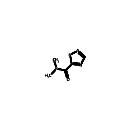 CN(C)C(=O)C1=NC=N[N]1